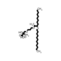 CCCCCCCCCCCCSC(CCCCCCCCC)C(C)OCCCOCC(O)([PH2]=O)C(=O)O